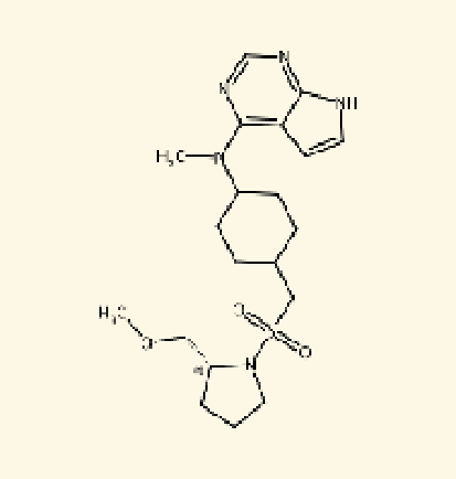 COC[C@H]1CCCN1S(=O)(=O)CC1CCC(N(C)c2ncnc3[nH]ccc23)CC1